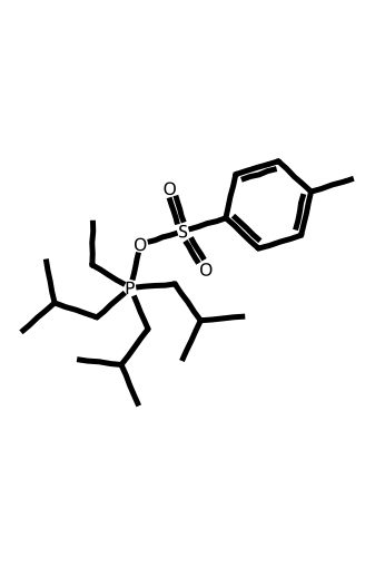 CCP(CC(C)C)(CC(C)C)(CC(C)C)OS(=O)(=O)c1ccc(C)cc1